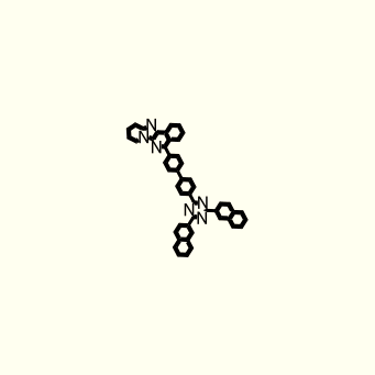 c1ccc2cc(-c3nc(-c4ccc(-c5ccc(-c6nc7c(nc8ccccn87)c7ccccc67)cc5)cc4)nc(-c4ccc5ccccc5c4)n3)ccc2c1